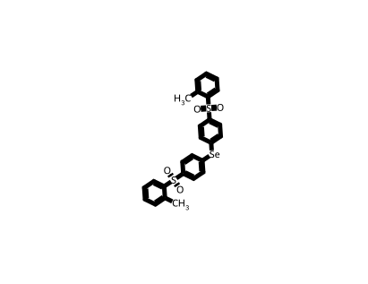 Cc1ccccc1S(=O)(=O)c1ccc([Se]c2ccc(S(=O)(=O)c3ccccc3C)cc2)cc1